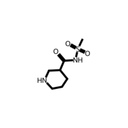 CS(=O)(=O)NC(=O)C1CCCNC1